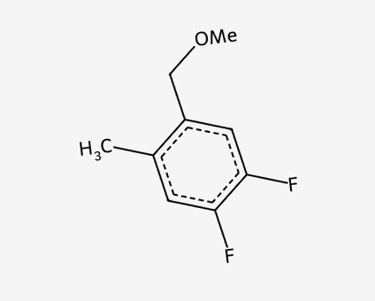 COCc1cc(F)c(F)cc1C